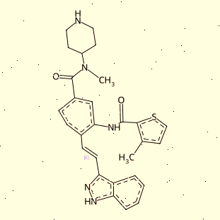 Cc1ccsc1C(=O)Nc1cc(C(=O)N(C)C2CCNCC2)ccc1/C=C/c1n[nH]c2ccccc12